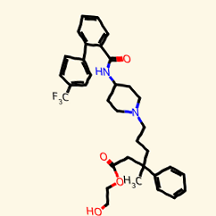 CC(CCCN1CCC(NC(=O)c2ccccc2-c2ccc(C(F)(F)F)cc2)CC1)(CC(=O)OCCO)c1ccccc1